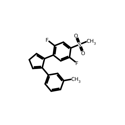 Cc1cccc(C2=CCC=C2c2cc(F)c(S(C)(=O)=O)cc2F)c1